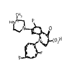 C[C@H]1CN(c2cc3c(cc2F)c(=O)c(C(=O)O)cn3-c2ccc(F)cc2F)CCN1